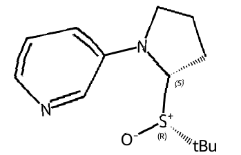 CC(C)(C)[S@+]([O-])[C@H]1CCCN1c1cccnc1